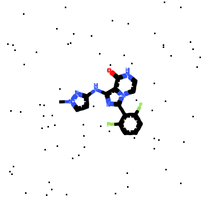 Cn1ccc(Nc2nc(-c3c(F)cccc3F)n3cc[nH]c(=O)c23)n1